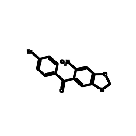 CCc1ccc(C(=O)c2cc3c(cc2[N+](=O)[O-])OCO3)cc1